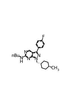 CCCCNc1ncc2c(-c3ccc(F)cc3)nn(C[C@H]3CC[C@H](C)CC3)c2n1